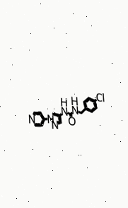 O=C(NCc1ccc(Cl)cc1)Nc1cnn(-c2ccncc2)c1